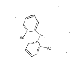 CC(=O)c1ccccc1[Se]c1ccccc1C(C)=O